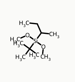 CCC(C)[Si](OC)(OC)C(C)(C)C